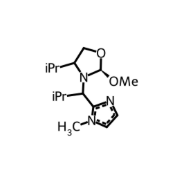 CO[C@@H]1OCC(C(C)C)N1C(c1nccn1C)C(C)C